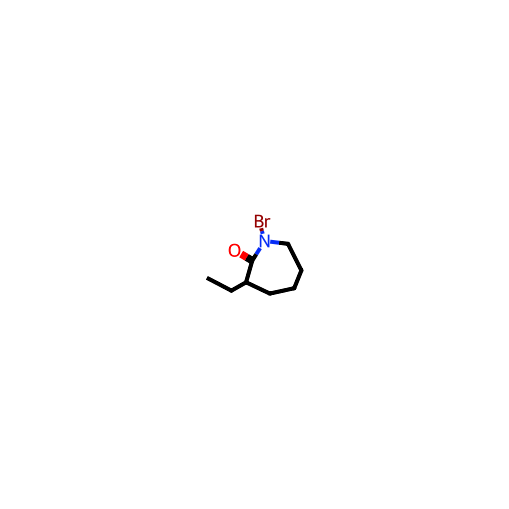 CCC1CCCCN(Br)C1=O